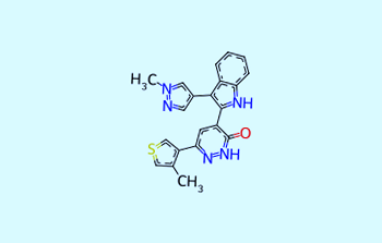 Cc1cscc1-c1cc(-c2[nH]c3ccccc3c2-c2cnn(C)c2)c(=O)[nH]n1